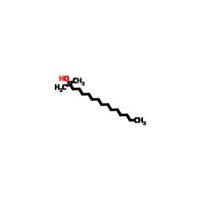 CCCCCCCCCCCCCC[Si](C)(C)O